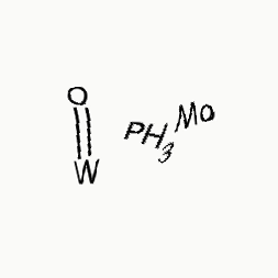 P.[Mo].[O]=[W]